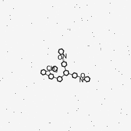 CC1(c2ccccc2)c2ccccc2-c2ccc(-c3cccc(-c4cc(-c5ccc(-c6nc7ccccc7o6)cc5)cc(-c5ccc(-c6nc7ccccc7o6)cc5)c4)c3)cc21